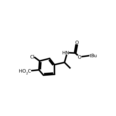 CC(NC(=O)OC(C)(C)C)c1ccc(C(=O)O)c(Cl)c1